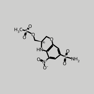 CS(=O)(=O)OC[C@H]1COc2cc(S(N)(=O)=O)cc([N+](=O)[O-])c2N1